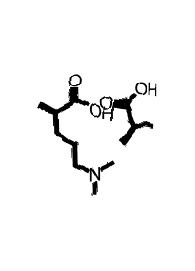 C=C(C)C(=O)O.C=C(CCCN(C)C)C(=O)O